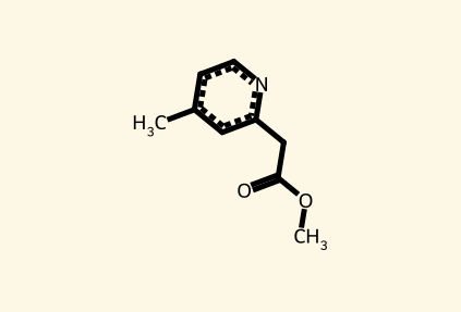 COC(=O)Cc1cc(C)ccn1